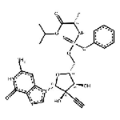 C#C[C@@]1(O)[C@H](O)[C@@H](COP(=S)(N[C@@H](C)C(=O)OC(C)C)Oc2ccccc2)O[C@H]1n1cnc2c(=O)[nH]c(N)cc21